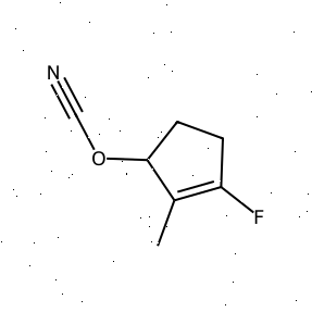 CC1=C(F)CCC1OC#N